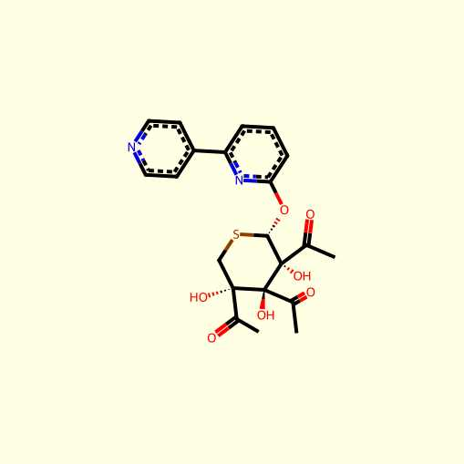 CC(=O)[C@]1(O)[C@@](O)(C(C)=O)CS[C@H](Oc2cccc(-c3ccncc3)n2)[C@@]1(O)C(C)=O